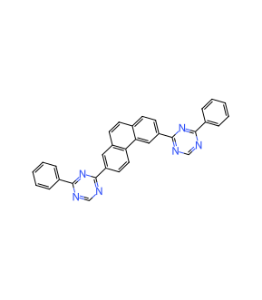 c1ccc(-c2ncnc(-c3ccc4c(ccc5ccc(-c6ncnc(-c7ccccc7)n6)cc54)c3)n2)cc1